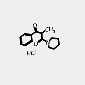 CC(C(=O)c1ccccc1)C(=O)N1CCCCC1.Cl